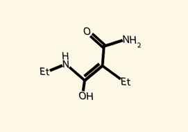 CCNC(O)=C(CC)C(N)=O